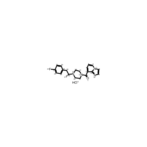 Cl.O=C(c1cccn2ccnc12)N1CCN(C(F)Cc2ccc(F)cc2)CC1